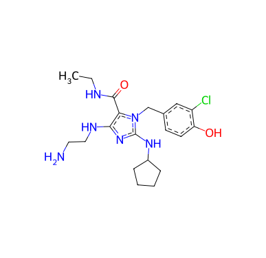 CCNC(=O)c1c(NCCN)nc(NC2CCCC2)n1Cc1ccc(O)c(Cl)c1